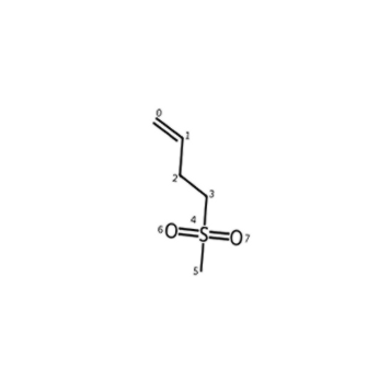 C=CCCS(C)(=O)=O